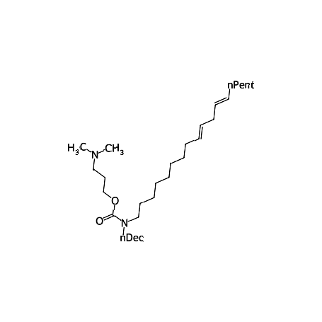 CCCCCC=CCC=CCCCCCCCCN(CCCCCCCCCC)C(=O)OCCCN(C)C